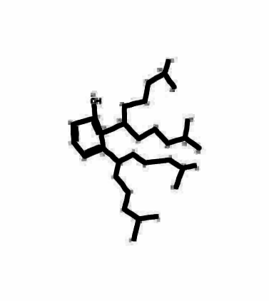 CC(C)CCCC(CCCC(C)C)c1cccc(O)c1C(CCCC(C)C)CCCC(C)C